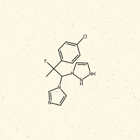 CC(F)(c1ccc(Cl)cc1)C(N1C=CNN1)n1ccnc1